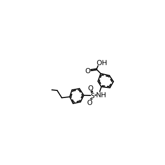 CCCc1ccc(S(=O)(=O)Nc2cccc(C(=O)O)c2)cc1